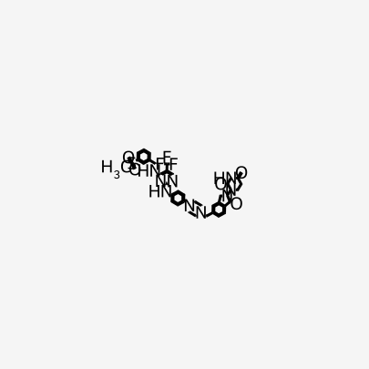 CS(=O)(=O)c1cccc(CNc2nc(Nc3ccc(N4CCN(Cc5ccc6c(c5)CN(N5CCC(=O)NC5=O)C6=O)CC4)cc3)ncc2C(F)(F)F)c1